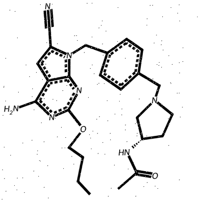 CCCCOc1nc(N)c2cc(C#N)n(Cc3ccc(CN4CC[C@H](NC(C)=O)C4)cc3)c2n1